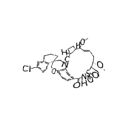 CC[C@@H]1[C@@H](OC)C/C=C/[C@H](OC)[C@@H]2CC[C@H]2CN2C[C@@]3(CCCc4cc(Cl)ccc43)COc3ccc(cc32)C(=O)NS1(=O)=O